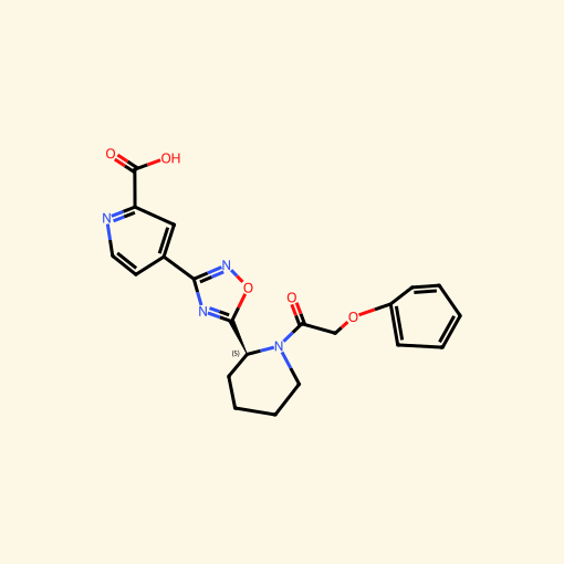 O=C(O)c1cc(-c2noc([C@@H]3CCCCN3C(=O)COc3ccccc3)n2)ccn1